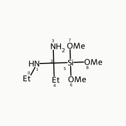 CCNC(N)(CC)[Si](OC)(OC)OC